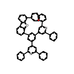 c1ccc(-c2cc(-c3cc(-c4cc(-c5ccccc5)nc(-c5ccccc5)c4)cc(-c4cccc5c4oc4c(-c6ccccc6)cccc45)c3)cc(-c3ccccc3)n2)cc1